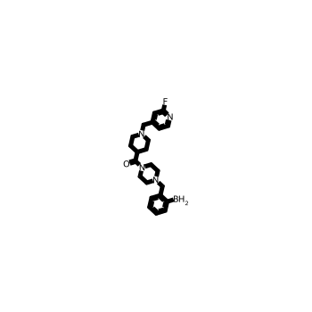 Bc1ccccc1CN1CCN(C(=O)C2CCN(Cc3ccnc(F)c3)CC2)CC1